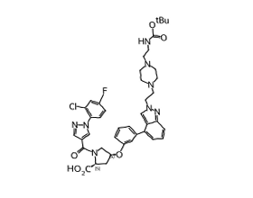 CC(C)(C)OC(=O)NCCN1CCN(CCn2cc3c(-c4cccc(O[C@H]5C[C@@H](C(=O)O)N(C(=O)c6cnn(-c7ccc(F)cc7Cl)c6)C5)c4)cccc3n2)CC1